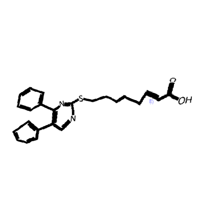 O=C(O)/C=C/CCCCCSc1ncc(-c2ccccc2)c(-c2ccccc2)n1